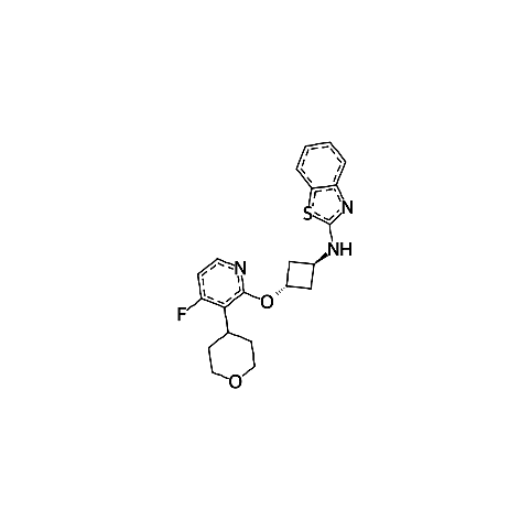 Fc1ccnc(O[C@H]2C[C@H](Nc3nc4ccccc4s3)C2)c1C1CCOCC1